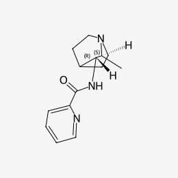 C[C@H]1[C@H](NC(=O)c2ccccn2)C2CCN1CC2